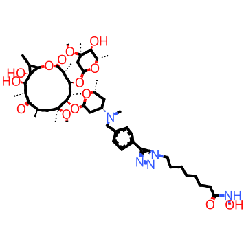 CO[C@]1(C)CC(O[C@@H]2[C@H](C)[C@@H](OC3C[C@@H](N(C)Cc4ccc(-c5cn(CCCCCCCC(=O)NO)nn5)cc4)C[C@@H](C)O3)[C@@](C)(OC)C[C@@H](C)C(=O)[C@H](C)[C@@H](O)[C@@]3(O)C(C)C3OC(=O)[C@@H]2C)O[C@@H](C)[C@@H]1O